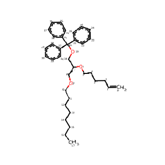 C=CCCCCOC(COCCCCCCCC)COC(c1ccccc1)(c1ccccc1)c1ccccc1